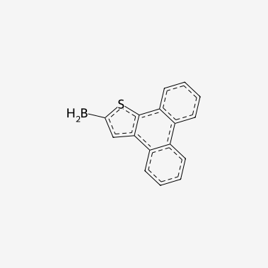 Bc1cc2c3ccccc3c3ccccc3c2s1